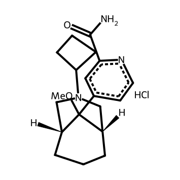 COC1(c2ccnc(C(N)=O)c2)[C@@H]2CCC[C@H]1CN(C1CCC1)C2.Cl